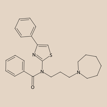 O=C(c1ccccc1)N(CCCN1CCCCCC1)c1nc(-c2ccccc2)cs1